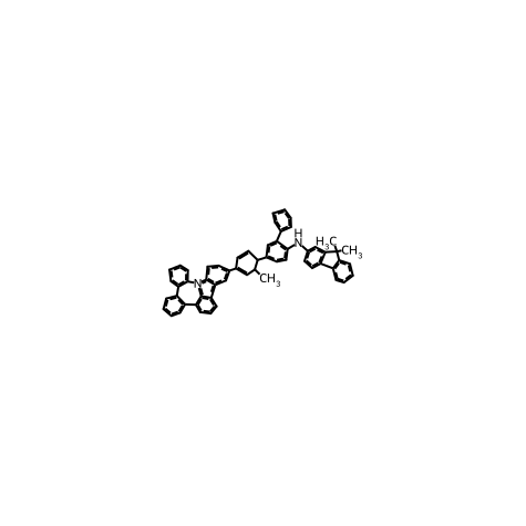 CC1C=C(c2ccc3c(c2)c2cccc4c2n3-c2ccccc2-c2ccccc2-4)C=CC1c1ccc(Nc2ccc3c(c2)C(C)(C)c2ccccc2-3)c(-c2ccccc2)c1